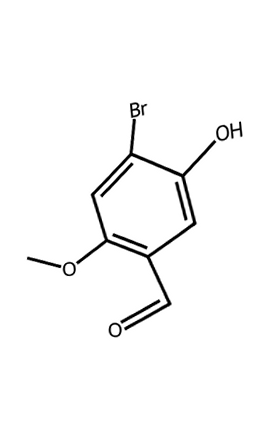 COc1cc(Br)c(O)cc1C=O